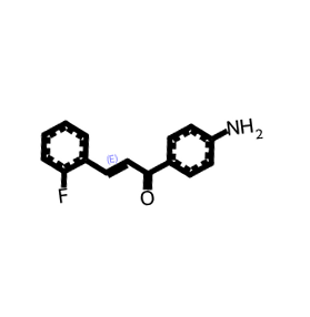 Nc1ccc(C(=O)/C=C/c2ccccc2F)cc1